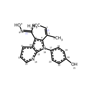 C/C=C(/C)c1c(/C(N)=N/O)c2cccnc2n1-c1ccc(O)cc1